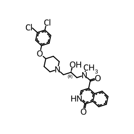 CN(C[C@H](O)CN1CCC(Oc2ccc(Cl)c(Cl)c2)CC1)C(=O)c1c[nH]c(=O)c2ccccc12